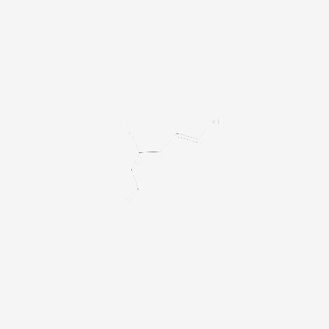 C=C/C=C(\C/C=C/O)C(C)C